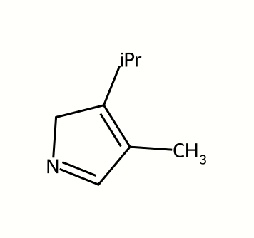 CC1=C(C(C)C)CN=C1